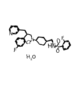 O.O=S(=O)(NCC1CCC(N(Cl)CC(Cc2cccnc2)c2ccc(F)cc2)CC1)c1ccccc1F